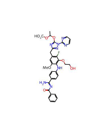 COc1cc(Cc2nc(OC(C)OC(=O)O)n(-c3ncccn3)n2)c(F)c(OCCO)c1Nc1ccc(C(N)=NC(=O)c2ccccc2)cc1